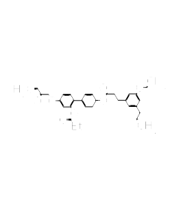 C=CCc1cc(CCC(=O)OC2C=CC(c3ccc(OCC(=O)C=C)cc3OC(=O)CC)=CC2)cc(OC=C)c1